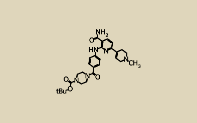 CN1CC=C(c2ccc(C(N)=O)c(Nc3ccc(C(=O)N4CCN(C(=O)OC(C)(C)C)CC4)cc3)n2)CC1